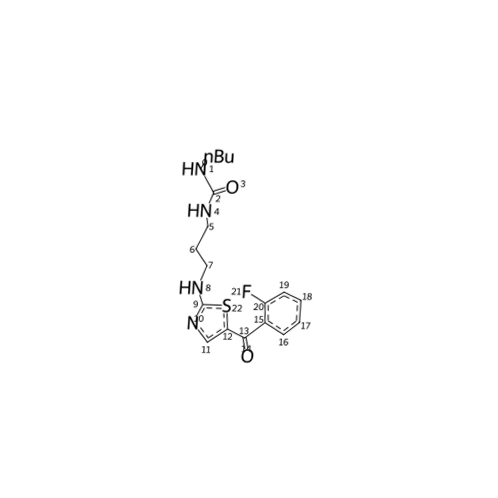 CCCCNC(=O)NCCCNc1ncc(C(=O)c2ccccc2F)s1